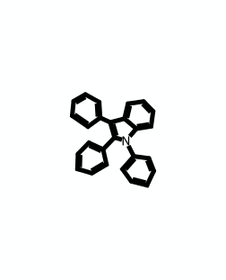 c1ccc(-c2c(-c3ccccc3)n(-c3ccccc3)c3ccccc23)cc1